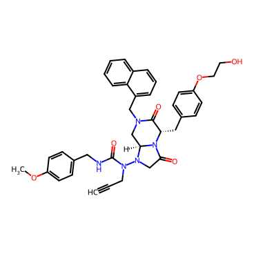 C#CCN(C(=O)NCc1ccc(OC)cc1)N1CC(=O)N2[C@@H](Cc3ccc(OCCO)cc3)C(=O)N(Cc3cccc4ccccc34)C[C@@H]21